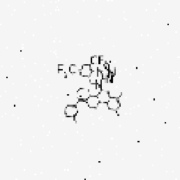 Cc1cccc(C2=c3ccc4c(c3CCC2)C(N(Cc2cc(C(F)(F)F)cc(C(F)(F)F)c2)c2nnn(C)n2)C=c2c(C)cc(C)cc2=4)c1